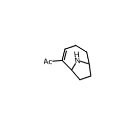 CC(=O)C1=CCCC2CCC1N2